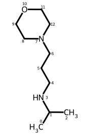 CC(C)NCCCN1CCOCC1